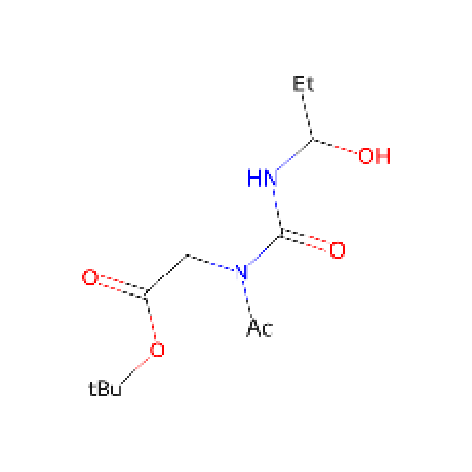 CCC(O)NC(=O)N(CC(=O)OC(C)(C)C)C(C)=O